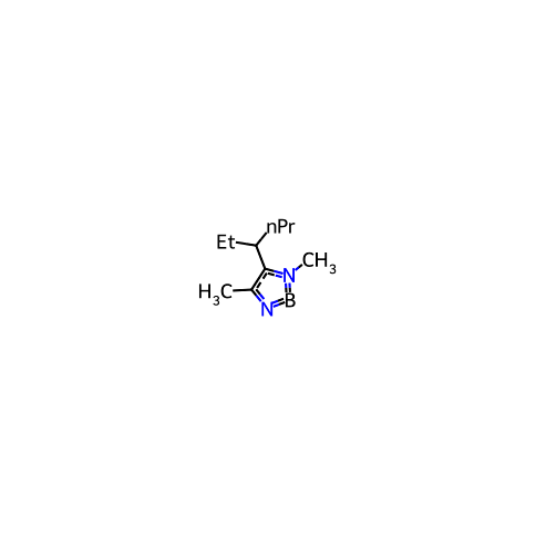 CCCC(CC)c1c(C)nbn1C